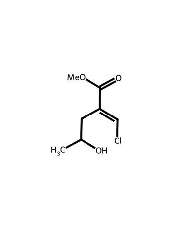 COC(=O)C(=CCl)CC(C)O